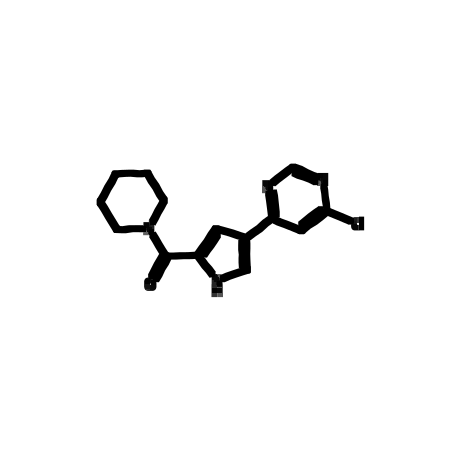 O=C(c1cc(-c2cc(Cl)ncn2)c[nH]1)N1CCCCC1